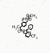 CC(C(=O)NCc1ccc(C(F)(F)F)nc1CN1CCCCC1)c1ccc(CNS(C)(=O)=O)c(F)c1